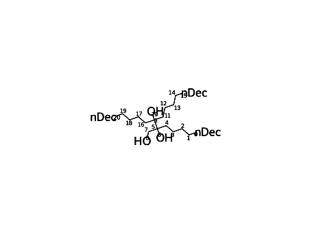 CCCCCCCCCCCCCCC(O)(CO)C(O)(CCCCCCCCCCCCCC)CCCCCCCCCCCCCC